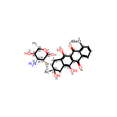 COc1cccc2c1C(=O)c1c(O)c3c(c(O)c1C2=O)C[C@@](O)(C(C)=O)C[C@@H]3O[C@@H]1O[C@@H](C)[C@H](O)[C@@H](N)[C@H]1Br